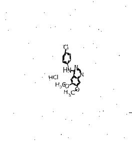 COc1cc2ncnc(Nc3ccc(Cl)cc3)c2cc1OC.Cl